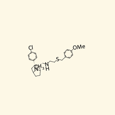 COc1ccc(CSCCNC[C@@H]2C3CCC(C[C@@H]2c2ccc(Cl)cc2)N3C)cc1